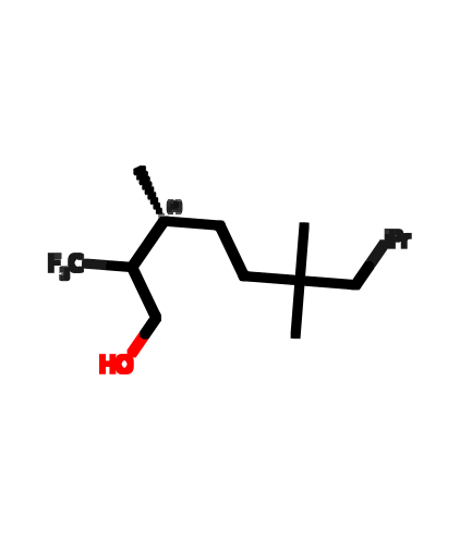 CC(C)CC(C)(C)CC[C@@H](C)C(CO)C(F)(F)F